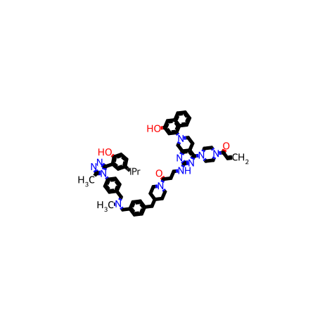 C=CC(=O)N1CCN(c2nc(NCCC(=O)N3CCC(Cc4ccc(CN(C)Cc5ccc(-n6c(C)nnc6-c6cc(C(C)C)ccc6O)cc5)cc4)CC3)nc3c2CCN(c2cc(O)cc4ccccc24)C3)CC1